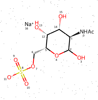 CC(=O)N[C@H]1C(O)O[C@H](COS(=O)(=O)[O-])[C@H](O)[C@@H]1O.[Na+]